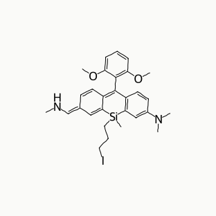 CNC=c1ccc2c(c1)[Si](C)(CCCI)c1cc(N(C)C)ccc1C=2c1c(OC)cccc1OC